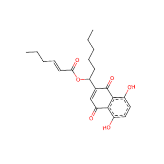 CCCC=CC(=O)OC(CCCCC)C1=CC(=O)c2c(O)ccc(O)c2C1=O